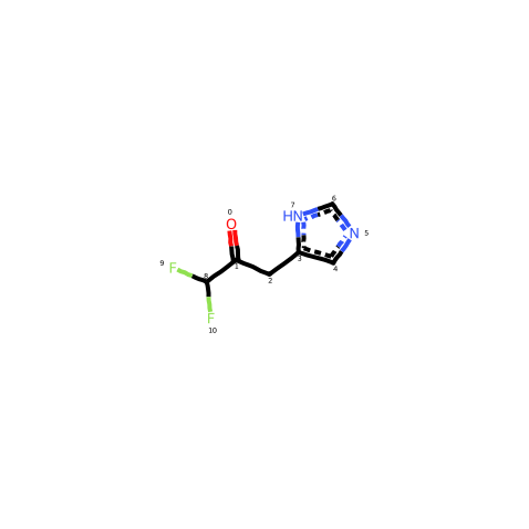 O=C(Cc1cnc[nH]1)C(F)F